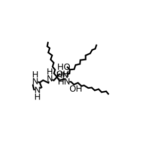 CCCCCCCCCCC(O)CNC(CC(O)(CCCCCCCCCC)CNCCC1CNCCN1)NCC(O)CCCCCCCCCC